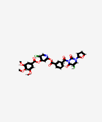 COc1cc(C(=O)Oc2cc(OC(=O)c3cccc(C(=O)n4c(=O)c(F)cn(C5CCCO5)c4=O)c3)ncc2Cl)cc(OC)c1OC